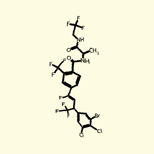 CC(NC(=O)c1ccc(/C(F)=C/C(c2cc(Cl)c(Cl)c(Br)c2)C(F)(F)F)cc1C(F)(F)F)C(=O)NCC(F)(F)F